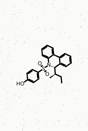 CC[C@@H](C)[C@H]1c2ccccc2-c2ccccc2N1S(=O)(=O)c1ccc(O)cc1